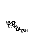 CCc1nn(Cc2cccc(N3CCNCC3)n2)c2cccc(-n3ccnc3)c12